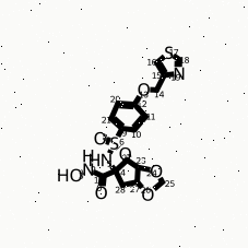 O=C(NO)C1(NS(=O)(=O)c2ccc(OCc3cscn3)cc2)CC2OCOC2C1